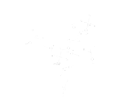 C#CCCC(=O)NC(COCCC(C)=O)(COCCC(C)=O)COCCC(=O)OC(C)(C)C